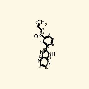 C=CC[S+]([O-])c1cccc(-c2nc3nccnc3[nH]2)c1